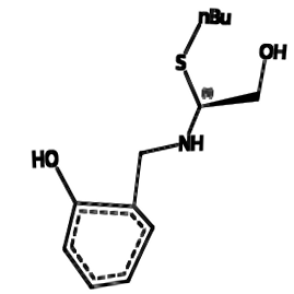 CCCCS[C@@H](CO)NCc1ccccc1O